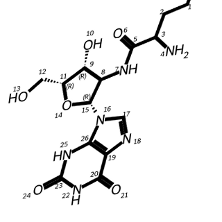 CCCC(N)C(=O)NC1[C@@H](O)[C@@H](CO)O[C@H]1n1cnc2c(=O)[nH]c(=O)[nH]c21